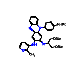 COCC(COC)/N=c1\cc2n(-c3ccc(NC(C)=O)cc3)c3ccccc3nc-2cc1Nc1cccnc1C